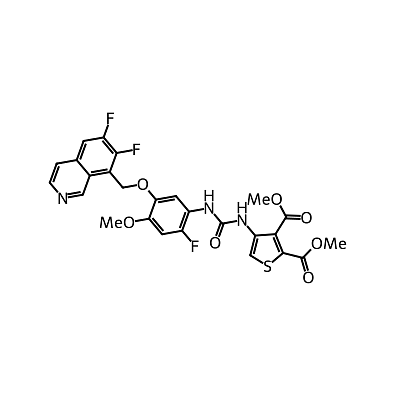 COC(=O)c1scc(NC(=O)Nc2cc(OCc3c(F)c(F)cc4ccncc34)c(OC)cc2F)c1C(=O)OC